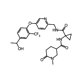 CC(O)c1ccc(Oc2ccc(CNC(=O)C3(NC(=O)C4CCC(=O)N(C)C4)CC3)nc2)c(C(F)(F)F)c1